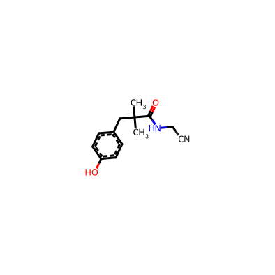 CC(C)(Cc1ccc(O)cc1)C(=O)NCC#N